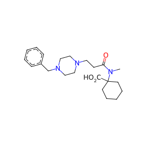 CN(C(=O)CCN1CCN(Cc2ccccc2)CC1)C1(C(=O)O)CCCCC1